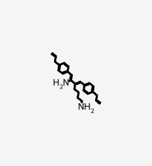 C=CCc1ccc(C=C(N)C(=Cc2ccc(CC=C)cc2)CCCCN)cc1